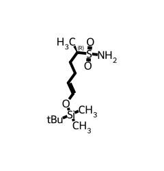 C[C@H](CCC=CO[Si](C)(C)C(C)(C)C)S(N)(=O)=O